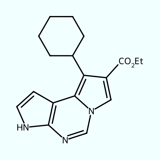 CCOC(=O)c1cn2cnc3[nH]ccc3c2c1C1CCCCC1